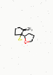 C=C1CCCC1(S)C1CCCO1